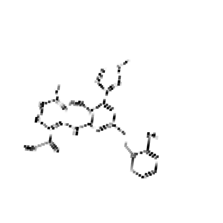 CNC(=O)c1nnc(Cl)cc1Nc1cc(CC[n+]2ccccc2N)cc(-c2ccn(C)n2)c1OC